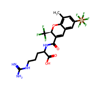 Cc1cc(S(F)(F)(F)(F)F)cc2c1O[C@H](C(F)(F)F)C(C(=O)NC(CCCNC(=N)N)C(=O)O)=C2